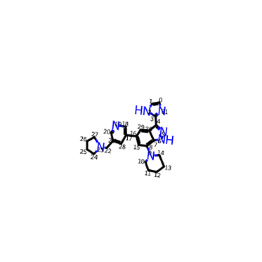 c1c[nH]c(-c2n[nH]c3c(N4CCCCC4)cc(-c4cncc(CN5CCCC5)c4)cc23)n1